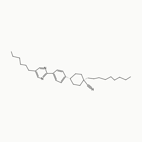 CCCCCCCCC[C@]1(C#N)CC[C@H](c2ccc(-c3ncc(CCCCCC)cn3)cc2)CC1